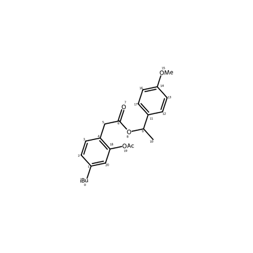 CCC(C)c1ccc(CC(=O)OC(C)c2ccc(OC)cc2)c(OC(C)=O)c1